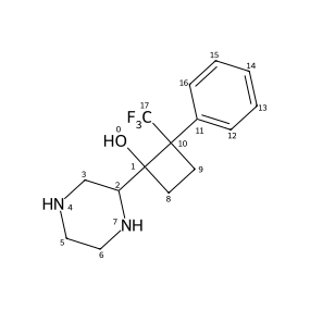 OC1(C2CNCCN2)CCC1(c1ccccc1)C(F)(F)F